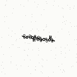 C=CC(=O)Oc1ccc(C(=O)Oc2cc(OCC)c(C(=O)O[C@@H]3CO[C@H]4[C@@H]3OC[C@H]4OC(=O)c3ccc(OC(=O)c4ccc(OC(=O)C=C)c(OCC)c4)cc3)cc2C)cc1